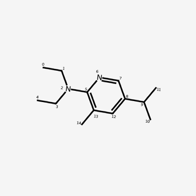 CCN(CC)c1ncc(C(C)C)cc1C